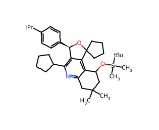 CC(C)c1ccc([C@H]2OC3(CCCC3)c3c4c(nc(C5CCCC5)c32)CC(C)(C)CC4O[Si](C)(C)C(C)(C)C)cc1